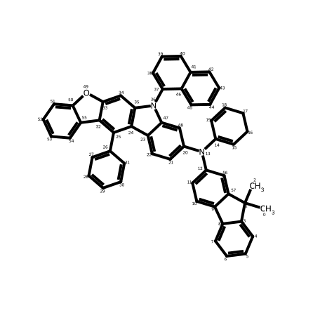 CC1(C)c2ccccc2-c2ccc(N(C3=CCCC=C3)c3ccc4c5c(-c6ccccc6)c6c(cc5n(-c5cccc7ccccc57)c4c3)oc3ccccc36)cc21